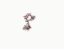 CCC(O[Si](CC)(CC)CC)C(C)C1OC1CC(C)(/C=C/C=C(\C)C1OC(=O)CC(O[Si](CC)(CC)CC)CC(C)C(OC)C(OC(C)=O)/C=C/C1C)O[Si](CC)(CC)CC